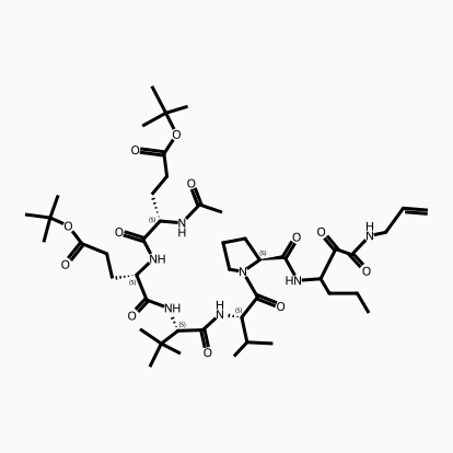 C=CCNC(=O)C(=O)C(CCC)NC(=O)[C@@H]1CCCN1C(=O)[C@@H](NC(=O)[C@@H](NC(=O)[C@H](CCC(=O)OC(C)(C)C)NC(=O)[C@H](CCC(=O)OC(C)(C)C)NC(C)=O)C(C)(C)C)C(C)C